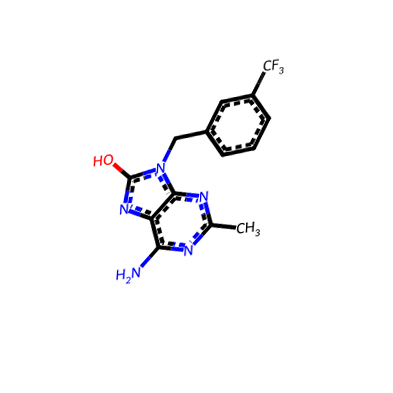 Cc1nc(N)c2nc(O)n(Cc3cccc(C(F)(F)F)c3)c2n1